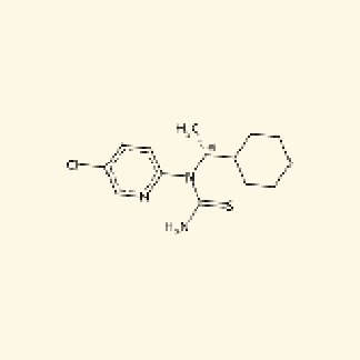 C[C@H](C1CCCCC1)N(C(N)=S)c1ccc(Cl)cn1